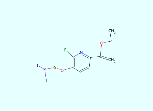 C=C(OCC)c1ccc(OSP(I)I)c(F)n1